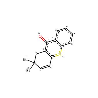 CCC1(CC)C=Cc2sc3ccccc3c(=O)c2C1